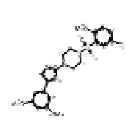 COc1cc(OC)cc(-c2csc(N3CCN(S(=O)(=O)c4cc(Cl)ccc4OC)CC3)n2)c1